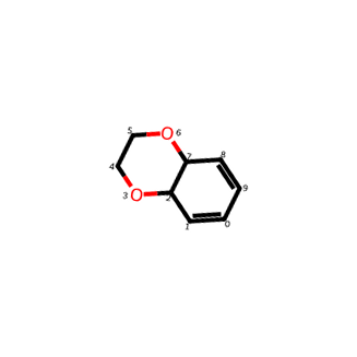 C1=CC2OCCOC2C=C1